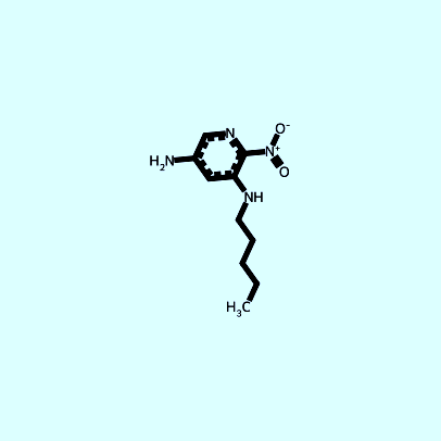 CCCCCNc1cc(N)cnc1[N+](=O)[O-]